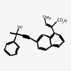 COC=C(C(=O)O)c1cccc2ccc(C#CC(C)(O)c3ccccc3)cc12